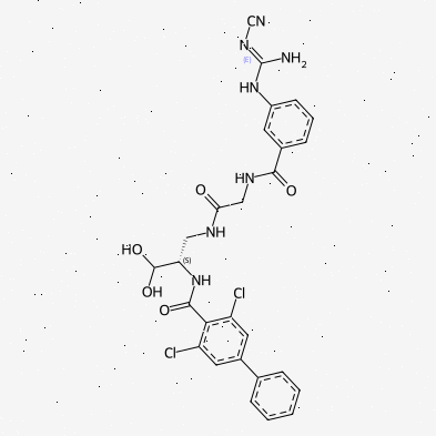 N#C/N=C(\N)Nc1cccc(C(=O)NCC(=O)NC[C@H](NC(=O)c2c(Cl)cc(-c3ccccc3)cc2Cl)C(O)O)c1